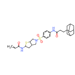 C=CC(=O)NC1CC2CN(S(=O)(=O)c3ccc(NC(=O)CCC45CC6CC(CC(C6)C4)C5)cc3)CC2S1